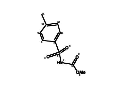 COC(=O)NS(=O)(=O)c1ccc(C)cc1